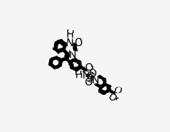 COC(=O)c1ccc2c(c1)CCN(S(=O)(=O)NC(=O)c1ccc3c(C4CCCCC4)c4n(c3c1)CC(=O)Nc1ccccc1-4)C2